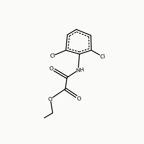 CCOC(=O)C(=O)Nc1c(Cl)cccc1Cl